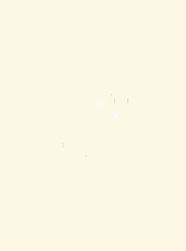 C/C=C1/C(=O)c2cc(C(C)=O)oc2C(=O)/C1=C/C